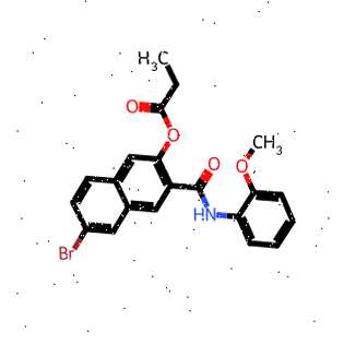 CCC(=O)Oc1cc2ccc(Br)cc2cc1C(=O)Nc1ccccc1OC